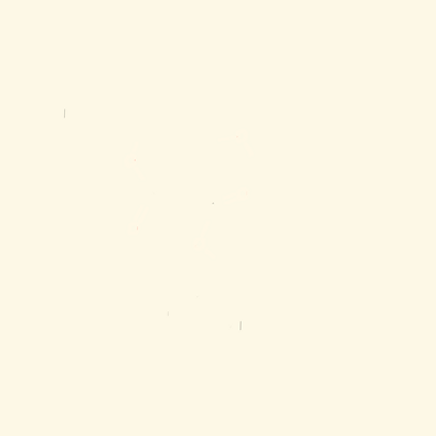 Cc1cccc2c(OCc3ccccc3)c(C(=O)OCC(C)C)c(=O)oc12